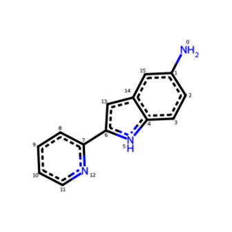 Nc1ccc2[nH]c(-c3ccccn3)cc2c1